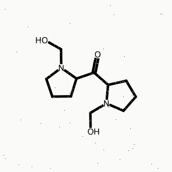 O=C(C1CCCN1CO)C1CCCN1CO